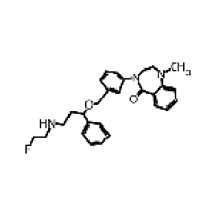 CN1CCN(c2cccc(COC(CCNCCF)c3ccccc3)c2)C(=O)c2ccccc21